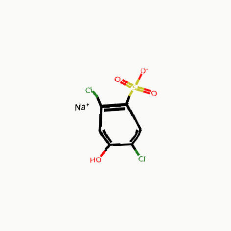 O=S(=O)([O-])c1cc(Cl)c(O)cc1Cl.[Na+]